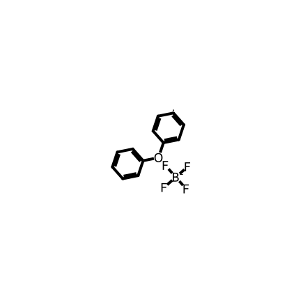 F[B-](F)(F)F.[c]1ccc(Oc2ccccc2)cc1